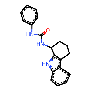 O=C(Nc1ccccc1)NC1CCCc2c1[nH]c1ccccc21